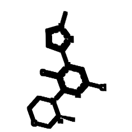 C[C@@H]1COCCN1c1nc(Cl)cn(-c2ccn(C)n2)c1=O